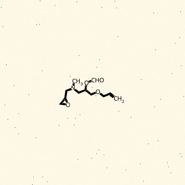 C=CCOCC(CN(C)CC1CO1)OC=O